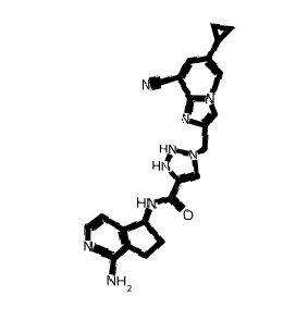 N#Cc1cc(C2CC2)cn2cc(CN3C=C(C(=O)NC4CCc5c4ccnc5N)NN3)nc12